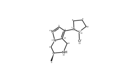 C[C@H]1Cn2ncc(N3CCC[S+]3[O-])c2CN1